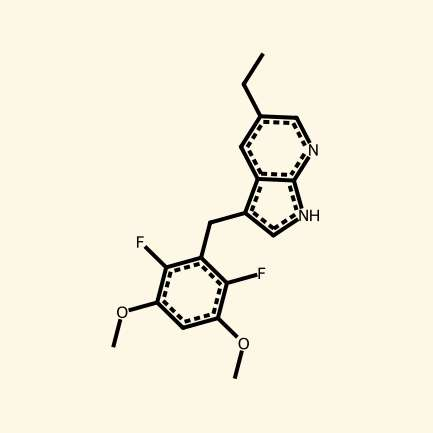 CCc1cnc2[nH]cc(Cc3c(F)c(OC)cc(OC)c3F)c2c1